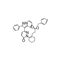 O=C(CCC1=C(n2nc(-c3c(-c4ccccc4)nn4ccccc34)ccc2=O)CCCC1)OCc1ccccc1